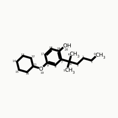 CCCCC(C)(C)c1cc(OC2CCCCC2)ccc1O